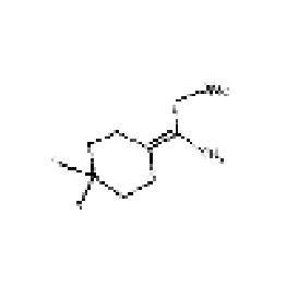 COCC(C)=C1CCC(F)(F)CC1